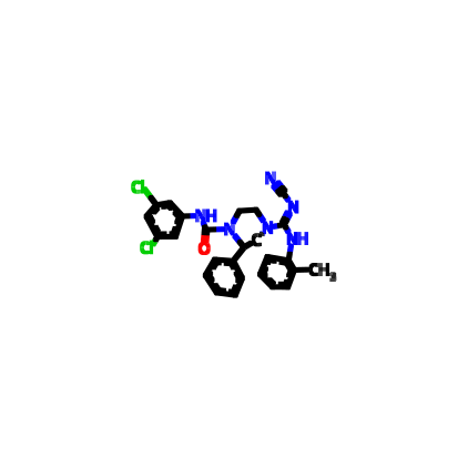 Cc1ccccc1N/C(=N/C#N)N1CCN(C(=O)Nc2cc(Cl)cc(Cl)c2)C(c2ccccc2)C1